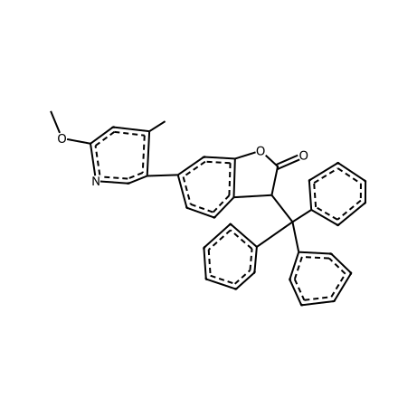 COc1cc(C)c(-c2ccc3c(c2)OC(=O)C3C(c2ccccc2)(c2ccccc2)c2ccccc2)cn1